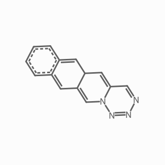 C1=NN=NN2C=C3C=c4ccccc4=CC3C=C12